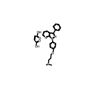 CN(C)CCCOc1ccc(-n2nc(-c3ccccc3)c3cccnc32)cc1.O=C(O)/C=C\C(=O)O